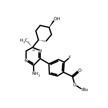 CC(C)(C)OC(=O)c1ccc(C2=N[C@](C)([C@H]3CC[C@H](O)CC3)CN=C2N)cc1F